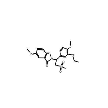 CCOc1cc([C@@H](CS(C)(=O)=O)n2sc3ccc(OC)cc3c2=O)ccc1OC